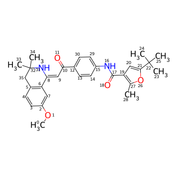 COc1ccc2c(c1)/C(=C/C(=O)c1ccc(NC(=O)c3cc(C(C)(C)C)oc3C)cc1)NC(C)(C)C2